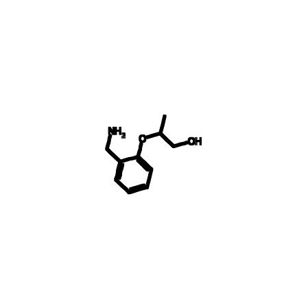 CC(CO)Oc1ccccc1CN